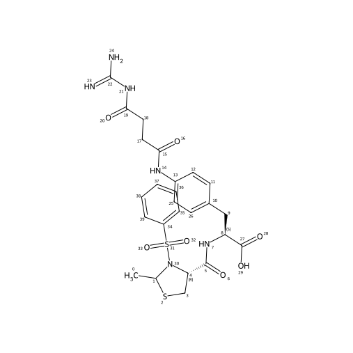 CC1SC[C@@H](C(=O)N[C@@H](Cc2ccc(NC(=O)CCC(=O)NC(=N)N)cc2)C(=O)O)N1S(=O)(=O)c1ccccc1